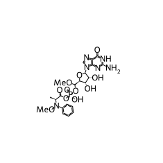 COC(OP(=O)(O)OC(=O)[C@H](C)N(OC)c1ccccc1)[C@H]1O[C@@H](n2cnc3c(=O)[nH]c(N)nc32)[C@H](O)[C@@H]1O